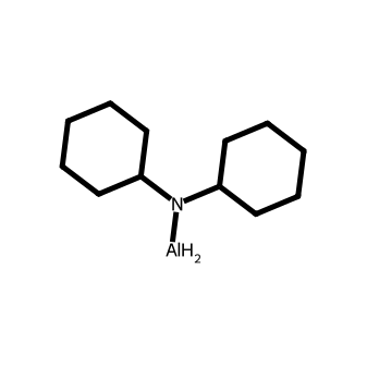 [AlH2][N](C1CCCCC1)C1CCCCC1